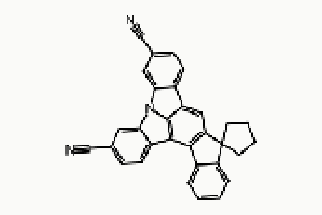 N#Cc1ccc2c3cc4c(c5c6ccc(C#N)cc6n(c2c1)c35)-c1ccccc1C41CCCC1